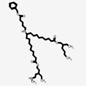 CCCCC(CC)COC(=O)CCCCCCCCC(CCCCCCCCC(=O)OCCC(CC)CCNC)NCCCCC(=O)OCc1ccccc1